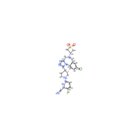 N#Cc1nc(N2CCC(c3nnc4n3-c3ccc(Cl)cc3CN(C3CS(=O)(=O)C3)C4)CC2)ccc1F